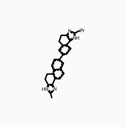 Cc1nc2c([nH]1)CCc1c-2ccc2cc(-c3ccc4c(c3)CCc3nc(C(C)C)[nH]c3-4)ccc12